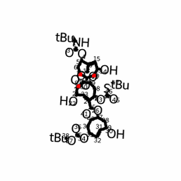 CC(C)(C)NC(=O)OC1CC2OCOC2CC(O)/C=C/1C1OC2CC(O)/C=C(\C3OC4CC(O)/C=C/C(OC(=O)OC(C)(C)C)CC4O3)C(OC(=O)SC(C)(C)C)CC2O1